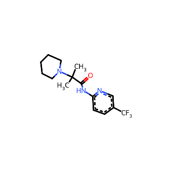 CC(C)(C(=O)Nc1ccc(C(F)(F)F)cn1)N1CCCCC1